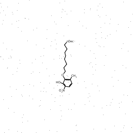 CCCCCCCCCCCCCCCCCCOc1c(C)ccc([N+](=O)[O-])c1O